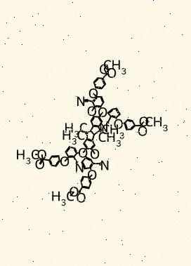 COC(=O)c1ccc(Oc2cccc(Oc3cc4c(cc3Oc3cccc(Oc5ccc(C(=O)OC)cc5)c3C#N)C(C)(C)C3c5cc(Oc6cccc(Oc7ccc(C(=O)OC)cc7)c6C#N)c(Oc6cccc(Oc7ccc(C(=O)OC)cc7)c6C#N)cc5C(C)(C)C43)c2C#N)cc1